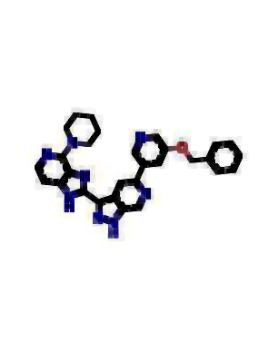 c1ccc(COc2cncc(-c3cc4c(-c5nc6c(N7CCCCC7)nccc6[nH]5)n[nH]c4cn3)c2)cc1